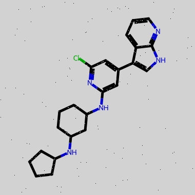 Clc1cc(-c2c[nH]c3ncccc23)cc(NC2CCCC(NC3CCCC3)C2)n1